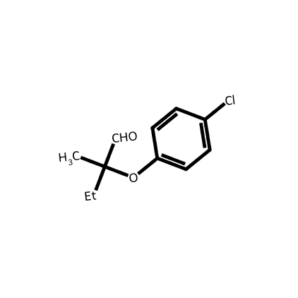 CCC(C)(C=O)Oc1ccc(Cl)cc1